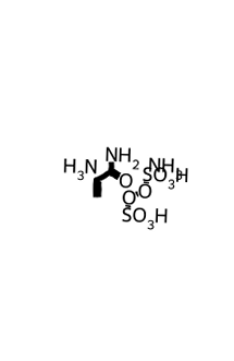 C=CC(N)=O.N.N.O=S(=O)(O)OOS(=O)(=O)O